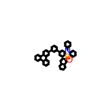 O=P1(c2ccc3ccccc3c2)c2ccccc2N(c2ccccc2)c2cc(-c3cccc(-c4ccc5c6ccccc6c6ccccc6c5c4)c3)ccc21